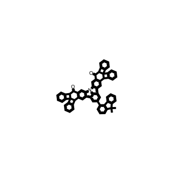 CC1(C)c2ccccc2-c2c(-c3cc4c5cc6c(cc5n5c7cc8c(cc7c(c3)c45)C3c4ccccc4C34c3ccccc3C4C8=O)C(=O)C3c4ccccc4C34c3ccccc3C64)cccc21